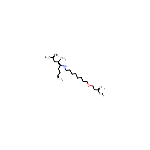 C=CCC/C(NCCCCCCCCOCCC(=C)C)=C(/C)CC(=C)C